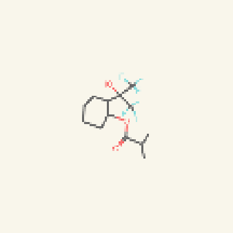 CC(C)C(=O)OC1CCCCC1C(O)(C(F)(F)F)C(F)(F)F